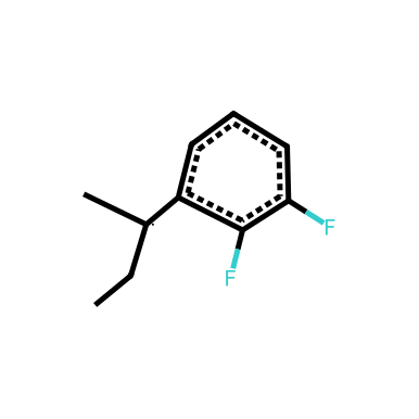 CC[C](C)c1cccc(F)c1F